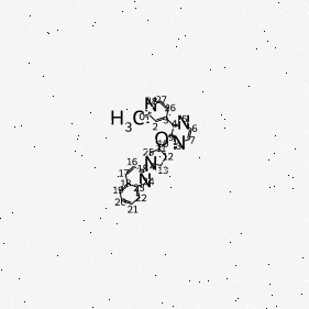 Cc1cc(-c2nccnc2OC2CCN(c3ccc4ccccc4n3)C2)ccn1